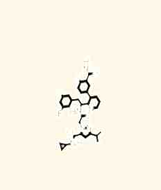 CC(C)c1cc(C(=O)NC2CC2)n(CC(=O)NC(Cc2cc(F)cc(F)c2)c2ncccc2-c2ccc(F)c(C(N)=O)c2)n1